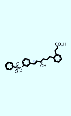 O=C(O)CCc1ccccc1CCC[C@@H](O)/C=C/c1cccc(NS(=O)(=O)c2ccccc2)c1